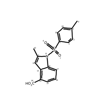 Cc1ccc(S(=O)(=O)n2c(C)cc3c(C(=O)O)cccc32)cc1